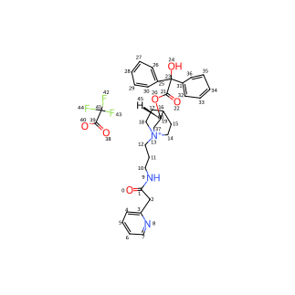 O=C(Cc1ccccn1)NCCC[N+]12CCC(CC1)[C@@H](OC(=O)C(O)(c1ccccc1)c1ccccc1)C2.O=C([O-])C(F)(F)F